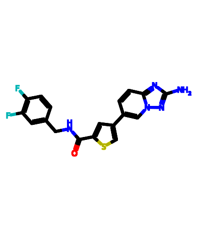 Nc1nc2ccc(-c3csc(C(=O)NCc4ccc(F)c(F)c4)c3)cn2n1